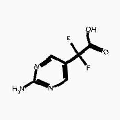 Nc1ncc(C(F)(F)C(=O)O)cn1